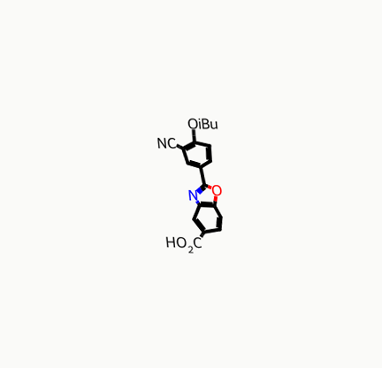 CC(C)COc1ccc(-c2nc3cc(C(=O)O)ccc3o2)cc1C#N